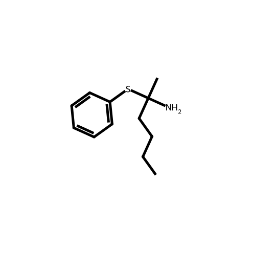 CCCCC(C)(N)Sc1ccccc1